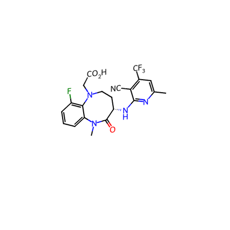 Cc1cc(C(F)(F)F)c(C#N)c(N[C@H]2CCN(CC(=O)O)c3c(F)cccc3N(C)C2=O)n1